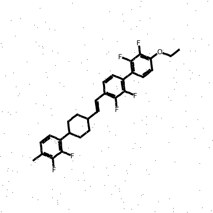 CCOc1ccc(-c2ccc(/C=C/C3CCC(c4ccc(C)c(F)c4F)CC3)c(F)c2F)c(F)c1F